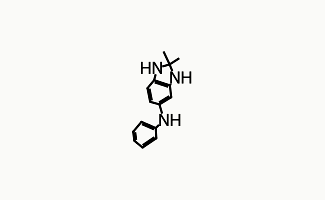 CC1(C)Nc2ccc(Nc3ccccc3)cc2N1